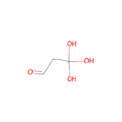 O=CCC(O)(O)O